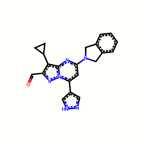 O=Cc1nn2c(-c3cn[nH]c3)cc(N3Cc4ccccc4C3)nc2c1C1CC1